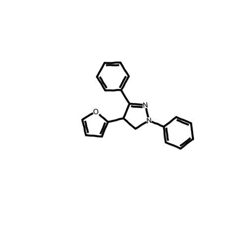 c1ccc(C2=NN(c3ccccc3)CC2c2ccco2)cc1